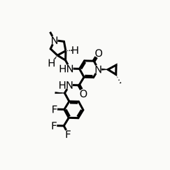 C[C@@H](NC(=O)c1cn([C@H]2C[C@@H]2C)c(=O)cc1NC1[C@H]2CN(C)C[C@@H]12)c1cccc(C(F)F)c1F